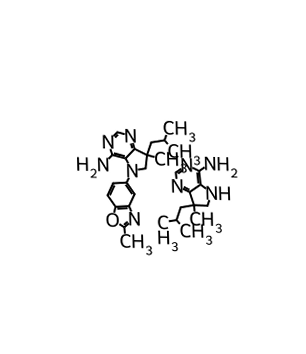 CC(C)CC1(C)CNc2c(N)ncnc21.Cc1nc2cc(N3CC(C)(CC(C)C)c4ncnc(N)c43)ccc2o1